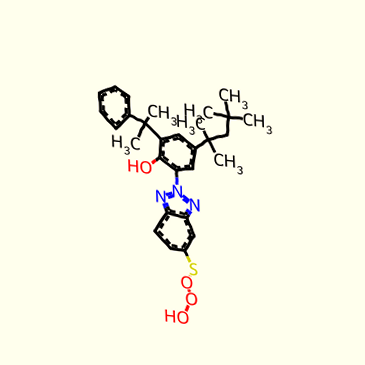 CC(C)(C)CC(C)(C)c1cc(-n2nc3ccc(SOOO)cc3n2)c(O)c(C(C)(C)c2ccccc2)c1